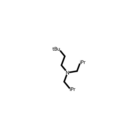 CC(C)CN(CCC(C)(C)C)CC(C)C